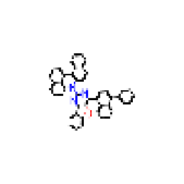 c1ccc(-c2ccc(-c3nc(N4c5ccc6ccccc6c5-c5cccc6cccc4c56)nc4c3oc3ccccc34)c3ccccc23)cc1